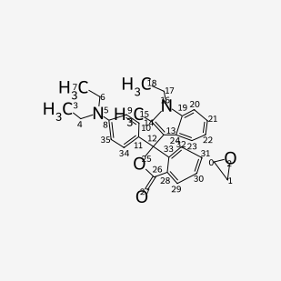 C1CO1.CCN(CC)c1ccc(C2(c3c(C)n(CC)c4ccccc34)OC(=O)c3ccccc32)cc1